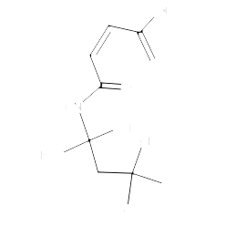 CC(C)(C)CC(C)(C)NC(=O)/C=C\C(=O)O